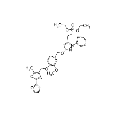 CCOP(=O)(CCc1cc(OCc2ccc(OCc3nc(-c4ccco4)oc3C)c(OC)c2)nn1-c1ccccc1)OCC